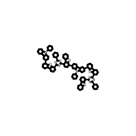 c1ccc(-c2nc(-c3cccc4c3oc3c(-c5ccc6c(c5)c5ccc(-c7ccc(-c8nc(-c9ccccc9)nc(-c9cccc%10c9oc9c(-c%11ccc%12c(c%11)c%11ccccc%11n%12-c%11ccccc%11)cccc9%10)n8)c8c7oc7ccccc78)cc5n6-c5ccccc5)cccc34)nc(-c3cccc4c3sc3ccccc34)n2)cc1